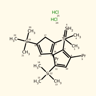 CC(C)C1=[C]([Ti]([CH3])([CH3])(=[SiH2])[C]2=C(C(C)C)C=C([Si](C)(C)C)C2)CC([Si](C)(C)C)=C1.Cl.Cl